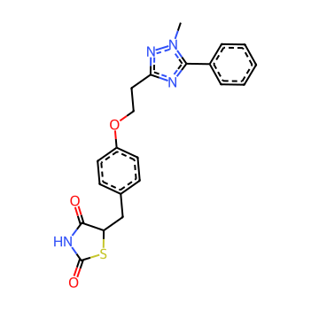 Cn1nc(CCOc2ccc(CC3SC(=O)NC3=O)cc2)nc1-c1ccccc1